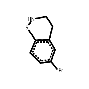 CC(C)c1ccc2c(c1)CCNS2